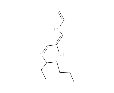 C=CN/C=C(N)\C=N/C(CC)CCCC